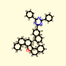 c1ccc(-c2nc(-c3ccccc3)nc(-c3ccc4c(-c5cc6ccc7ccccc7c6c6oc7ccc8ccccc8c7c56)cccc4c3)n2)cc1